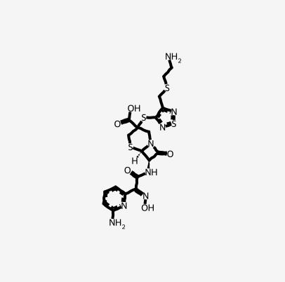 NCCSCc1nsnc1SC1(C(=O)O)CS[C@@H]2[C@H](NC(=O)C(=NO)c3cccc(N)n3)C(=O)N2C1